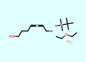 CC(C)(C)[Si](C)(C)I.CCOCC.OCCCC=C=CCI.P